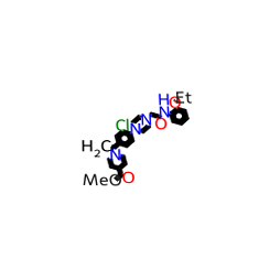 C=C(c1ccc(N2CCN(CC(=O)Nc3ccccc3OCC)CC2)c(Cl)c1)N1CCC(C(=O)OC)CC1